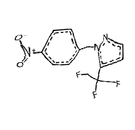 O=[N+]([O-])c1ccc(-n2nccc2C(F)(F)F)cc1